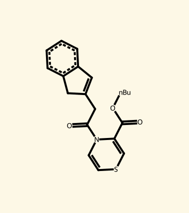 CCCCOC(=O)C1=CSC=CN1C(=O)CC1=Cc2ccccc2C1